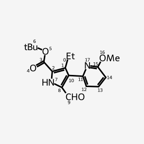 CCc1c(C(=O)OC(C)(C)C)[nH]c(C=O)c1-c1cccc(OC)n1